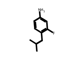 CC(C)Cc1ccc(N)cc1F